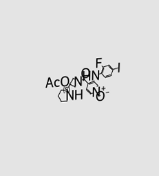 CC(=O)OC1([C@@H]2CCCCN2)CN(C(=O)c2cc[n+]([O-])cc2Nc2ccc(I)cc2F)C1